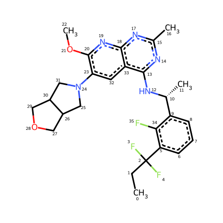 CCC(F)(F)c1cccc([C@@H](C)Nc2nc(C)nc3nc(OC)c(N4CC5COCC5C4)cc23)c1F